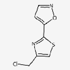 ClCc1csc(-c2ccno2)n1